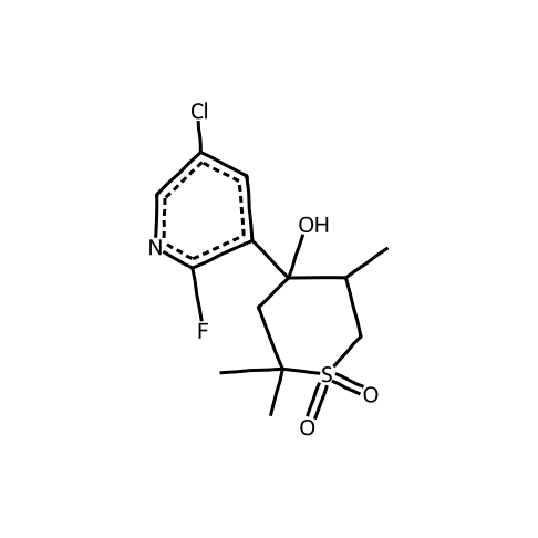 CC1CS(=O)(=O)C(C)(C)CC1(O)c1cc(Cl)cnc1F